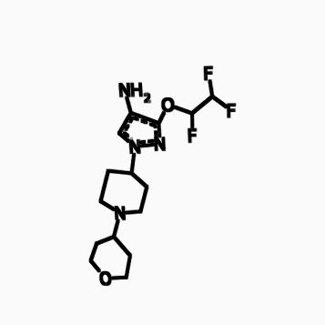 Nc1cn(C2CCN(C3CCOCC3)CC2)nc1OC(F)C(F)F